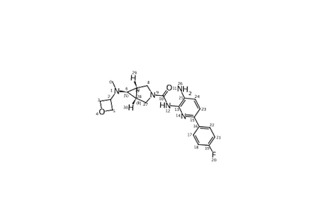 CN(C1COC1)[C@H]1[C@@H]2CN(C(=O)Nc3nc(-c4ccc(F)cc4)ccc3N)C[C@@H]21